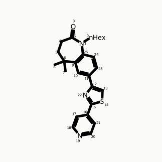 CCCCCCN1C(=O)CCC(C)(C)c2cc(-c3csc(-c4ccncc4)n3)ccc21